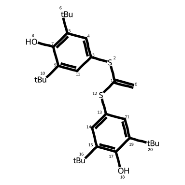 C=C(Sc1cc(C(C)(C)C)c(O)c(C(C)(C)C)c1)Sc1cc(C(C)(C)C)c(O)c(C(C)(C)C)c1